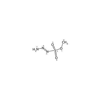 COS(=O)(=O)N=NN